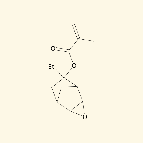 C=C(C)C(=O)OC1(CC)CC2CC1C1OC21